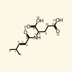 CC(C)/C=C/C(=O)NC(CCC(=O)O)C(=O)O